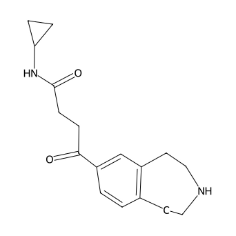 O=C(CCC(=O)c1ccc2c(c1)CCNCC2)NC1CC1